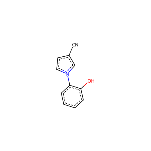 N#Cc1ccn(-c2ccccc2O)c1